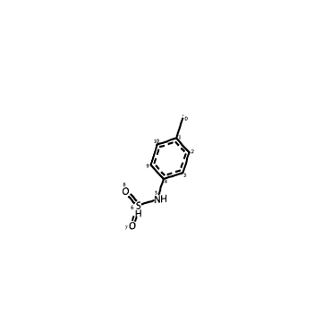 [CH2]c1ccc(N[SH](=O)=O)cc1